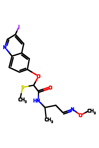 CON=CCC(C)NC(=O)C(Oc1ccc2ncc(I)cc2c1)SC